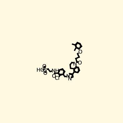 Cc1cccc(OCCCC(=O)N2CCCc3c(-c4cnn(Cc5cccc(C(=O)NCCS(=O)(=O)O)c5Cl)c4)cccc32)c1C